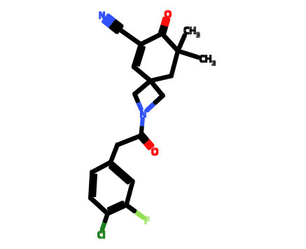 CC1(C)CC2(C=C(C#N)C1=O)CN(C(=O)Cc1ccc(Cl)c(F)c1)C2